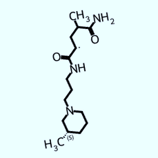 CC(C[CH]C(=O)NCCCN1CCC[C@H](C)C1)C(N)=O